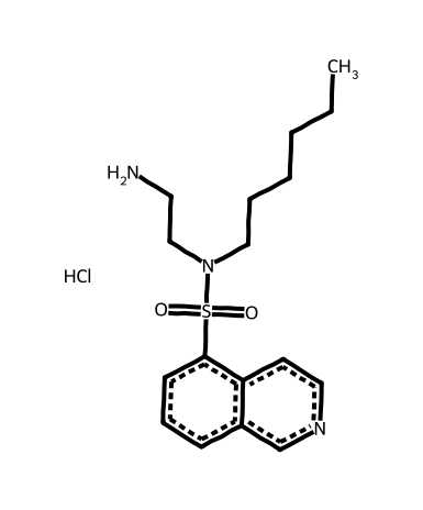 CCCCCCN(CCN)S(=O)(=O)c1cccc2cnccc12.Cl